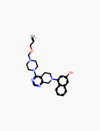 C=CCOCN1CCN(c2ncnc3c2CCN(c2cc(O)cc4ccccc24)C3)CC1